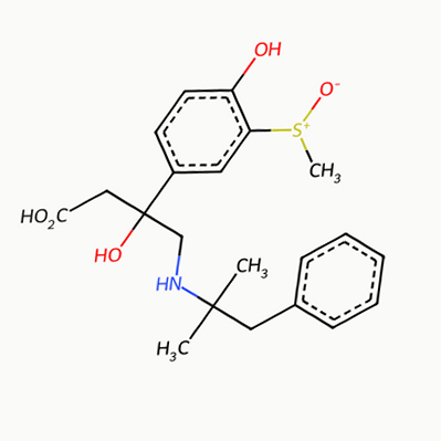 C[S+]([O-])c1cc(C(O)(CNC(C)(C)Cc2ccccc2)CC(=O)O)ccc1O